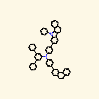 c1ccc(-c2cc(-c3ccccc3)cc(N(c3ccc(-c4ccc5ccc6ccccc6c5c4)cc3)c3ccc(-c4ccc5c6ccc7ccccc7c6n(-c6ccccc6)c5c4)cc3)c2)cc1